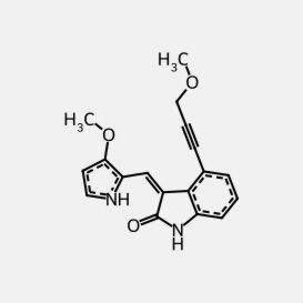 COCC#Cc1cccc2c1/C(=C/c1[nH]ccc1OC)C(=O)N2